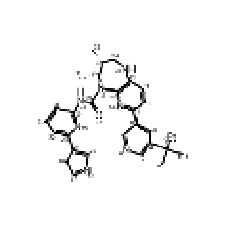 CCC(C)(F)c1cncc(-c2ccc3c(n2)N(C(=O)Nc2cccc(C4=CN=CC4)n2)[C@H](C)[C@H](C)CN3)c1